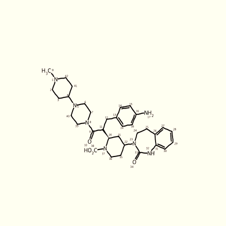 CN1CCC(N2CCN(C(=O)C(Cc3ccc(N)cc3)[C@H]3CC(N4CCc5ccccc5NC4=O)CCN3C(=O)O)CC2)CC1